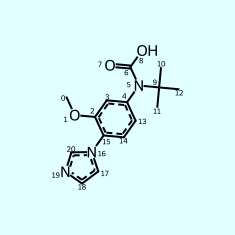 COc1cc(N(C(=O)O)C(C)(C)C)ccc1-n1ccnc1